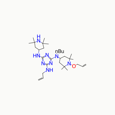 C=CCNc1nc(NC2CC(C)(C)NC(C)(C)C2)nc(N(CCCC)C2CC(C)(C)N(OCC=C)C(C)(C)C2)n1